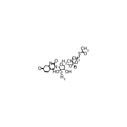 CC(=O)SCCOP(=O)(OC[C@H]1O[C@@H](n2cc3c(nc2=O)CC(=O)C=C3)[C@](C)(O)[C@@H]1O)N(C)C